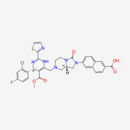 COC(=O)C1=C(CN2CCN3C(=O)N(c4ccc5cc(C(=O)O)ccc5c4)C[C@@H]3C2)NC(c2nccs2)=N[C@H]1c1ccc(F)cc1Cl